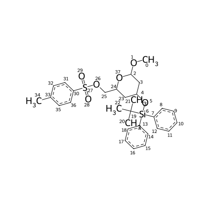 COC1CC(O[Si](c2ccccc2)(c2ccccc2)C(C)(C)C)CC(COS(=O)(=O)c2ccc(C)cc2)O1